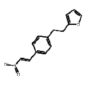 O=[N+]([O-])C=Cc1ccc(CCc2ccco2)cc1